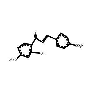 COc1ccc(C(=O)C=Cc2ccc(C(=O)O)cc2)c(O)c1